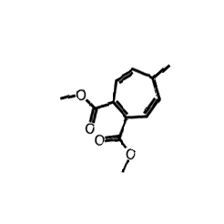 COC(=O)C1=C(C(=O)OC)C=CC(C)C=C1